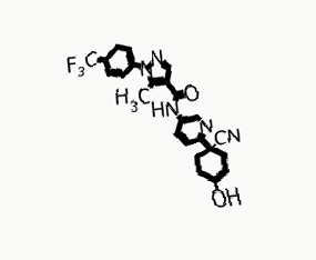 Cc1c(C(=O)Nc2ccc([C@]3(C#N)CC[C@H](O)CC3)nc2)cnn1C1=CCC(C(F)(F)F)C=C1